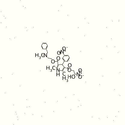 CC1=C(C(=O)OCCN(C)Cc2ccccc2)C(c2cccc([N+](=O)[O-])c2)C(C(=O)OCC(O)[N+](=O)[O-])=C(C)N1